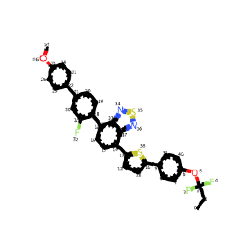 CCC(F)(F)Oc1ccc(-c2ccc(-c3ccc(-c4ccc(-c5ccc(OC)cc5)cc4F)c4nsnc34)s2)cc1